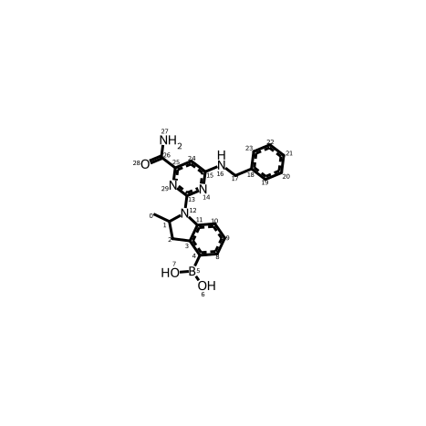 CC1Cc2c(B(O)O)cccc2N1c1nc(NCc2ccccc2)cc(C(N)=O)n1